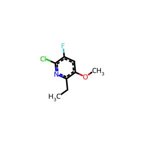 CCc1nc(Cl)c(F)cc1OC